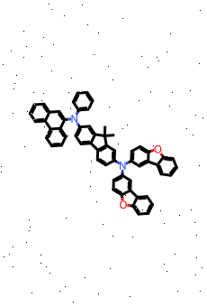 CC1(C)c2cc(N(c3ccc4oc5ccccc5c4c3)c3ccc4oc5ccccc5c4c3)ccc2-c2ccc(N(c3ccccc3)c3cc4ccccc4c4ccccc34)cc21